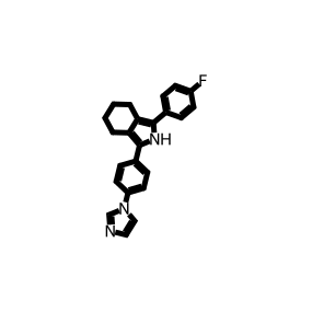 Fc1ccc(-c2[nH]c(-c3ccc(-n4ccnc4)cc3)c3c2CCCC3)cc1